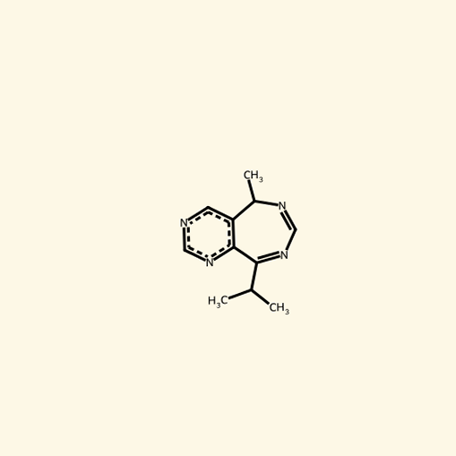 CC(C)C1=NC=NC(C)c2cncnc21